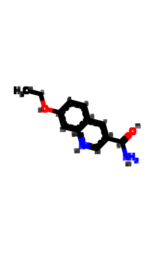 CCOc1ccc2cc(C(N)=O)cnc2c1